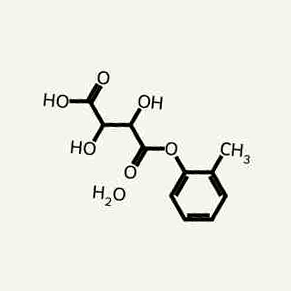 Cc1ccccc1OC(=O)C(O)C(O)C(=O)O.O